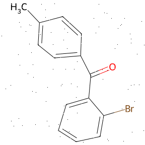 Cc1ccc(C(=O)c2ccccc2Br)cc1